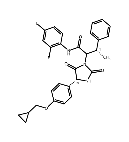 C[C@@H](c1ccccc1)C(C(=O)Nc1ccc(I)cc1F)N1C(=O)N[C@H](c2ccc(OCC3CC3)cc2)C1=O